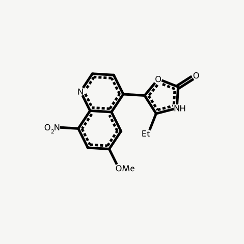 CCc1[nH]c(=O)oc1-c1ccnc2c([N+](=O)[O-])cc(OC)cc12